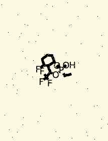 CCP(=O)(O)OC(C1CCCCC1F)C(F)(F)F